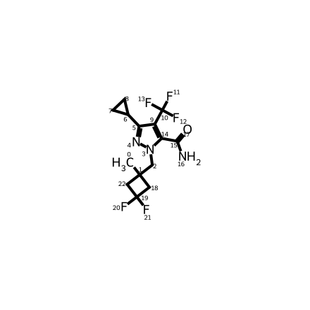 CC1(Cn2nc(C3CC3)c(C(F)(F)F)c2C(N)=O)CC(F)(F)C1